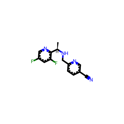 C[C@@H](NCc1ccc(C#N)cn1)c1ncc(F)cc1F